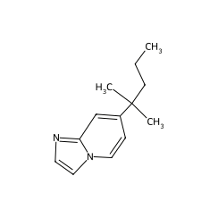 CCCC(C)(C)c1ccn2ccnc2c1